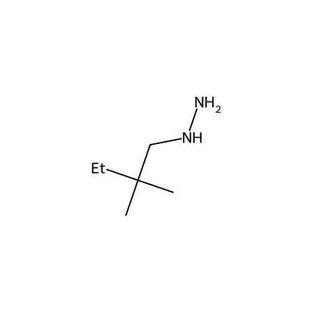 CCC(C)(C)CNN